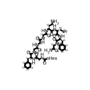 CCCCCCC(=O)NCC(=O)N[C@@H](Cc1ccccc1)C(=O)NCC(=O)NCC(=O)NCC(=O)N[C@@H](CCN)C(=O)N[C@H](CC(C)C)C(=O)N[C@@H](Cc1ccccc1)C(=O)NCC(N)=O